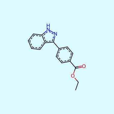 CCOC(=O)c1ccc(-c2n[nH]c3ccccc23)cc1